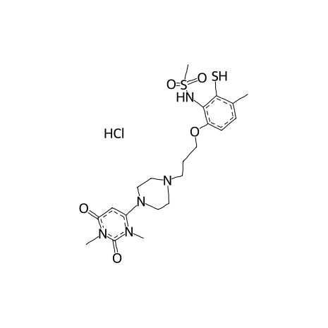 Cc1ccc(OCCCN2CCN(c3cc(=O)n(C)c(=O)n3C)CC2)c(NS(C)(=O)=O)c1S.Cl